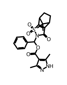 Cc1n[nH]c(C)c1C(=O)OC(c1ccccc1)N1C(=O)C2=C(C3CCC2C3(C)C)S1(=O)=O